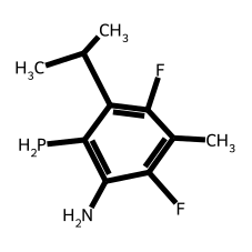 Cc1c(F)c(N)c(P)c(C(C)C)c1F